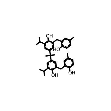 Cc1ccc(O)c(Cc2cc(C(C)(C)c3cc(Cc4cc(C)ccc4O)c(O)c(C(C)C)c3)cc(C(C)C)c2O)c1